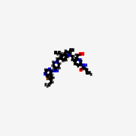 C=CC(=O)Nc1ccc(CCn2c(C#N)cc3c(C)c(CN4CCC(Nc5ncnc6sc(CC(F)(F)F)cc56)CC4)ccc32)c(CO)n1